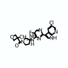 CC1(C(=O)N2CC[C@@](N)(Nc3nc(-c4c[nH]c5ncc(Cl)cc45)ncc3F)C2)COC1